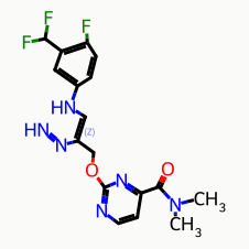 CN(C)C(=O)c1ccnc(OC/C(=C/Nc2ccc(F)c(C(F)F)c2)N=N)n1